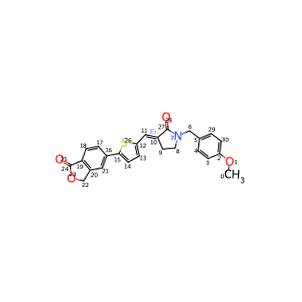 COc1ccc(CN2CC/C(=C\c3ccc(-c4ccc5c(c4)COC5=O)s3)C2=O)cc1